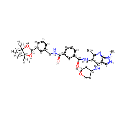 CCc1nc2c(cnn2CC)c(NC2CCOCC2)c1CNC(=O)c1cccc(C(=O)NCc2cccc(B3OC(C)(C)C(C)(C)O3)c2)c1